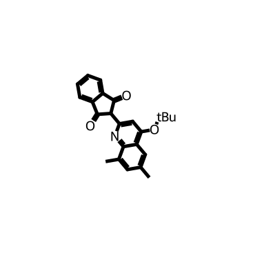 Cc1cc(C)c2nc(C3C(=O)c4ccccc4C3=O)cc(OC(C)(C)C)c2c1